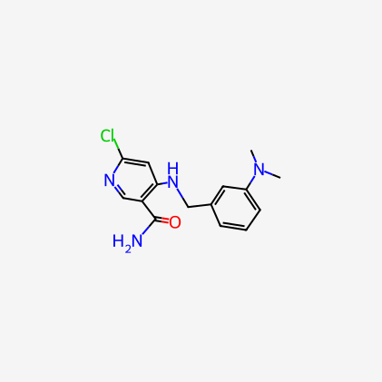 CN(C)c1cccc(CNc2cc(Cl)ncc2C(N)=O)c1